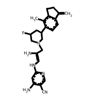 C=C1CCc2c1ccc(C1CC(F)CN(C/C(N)=C/Nc3cc(N)c(C#N)cn3)C1)c2C